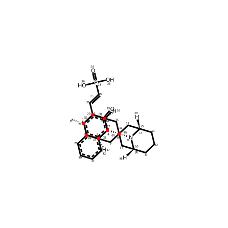 C[C@@H]1C[C@@H]2C[C@H](C1)C[C@@H](N1[C@@H]3CCC[C@H]1C[C@@H](n1c(=O)c(/C=C/P(=O)(O)O)nc4ccccc41)C3)C2